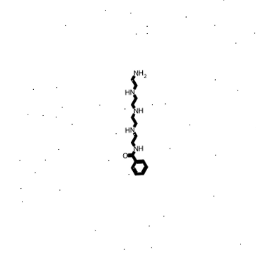 NCCNCCNCCNCCNC(=O)c1ccccc1